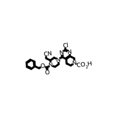 N#CCC1CN(c2nc(Cl)nc3c2CCN(C(=O)O)C3)CCN1C(=O)OCc1ccccc1